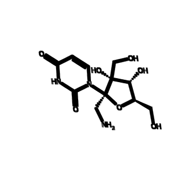 NC[C@@]1(n2ccc(=O)[nH]c2=O)O[C@H](CO)[C@@H](O)[C@]1(O)CO